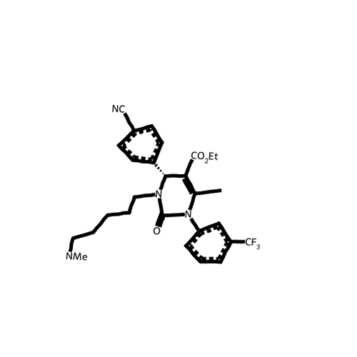 CCOC(=O)C1=C(C)N(c2cccc(C(F)(F)F)c2)C(=O)N(CCCCCNC)[C@@H]1c1ccc(C#N)cc1